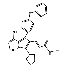 NNC(=O)/C=C/c1c(-c2ccc(Oc3ccccc3)cc2)c2c(N)ncnn2c1C1CCCC1